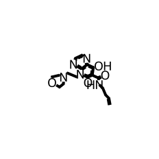 C=CCCNC(=O)c1c(O)c2nccnc2n(CCN2CCOCC2)c1=O